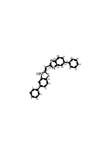 C(=C1\Nc2cc(-c3ccccc3)ccc2S1)/c1nc2cc(-c3ccccc3)ccc2s1